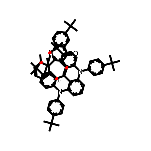 CC1C=CC2=C3[C@@H](C)C(c4c(N(c5ccc(C(C)(C)C)cc5)c5ccc(C(C)(C)C)cc5)cccc4N(c4ccc(C(C)(C)C)cc4)c4ccc(C(C)(C)C)cc4)=Cc4c(n2c2ccc(C(C)(C)C)cc2c4=O)C31C